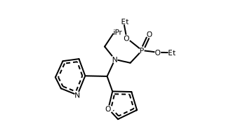 CCOP(=O)(CN(CC(C)C)C(c1ccccn1)c1ccco1)OCC